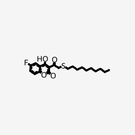 CCCCCCCCCCSCC(=O)c1c(O)c2cc(F)ccc2oc1=O